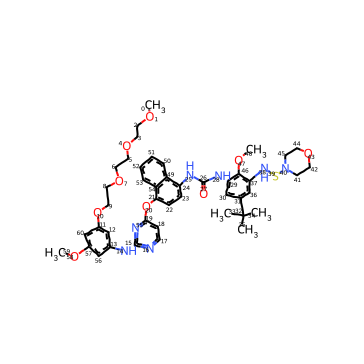 COCCOCCOCCOc1cc(Nc2nccc(Oc3ccc(NC(=O)Nc4cc(C(C)(C)C)cc(NSN5CCOCC5)c4OC)c4ccccc34)n2)cc(OC)c1